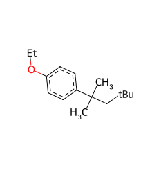 [CH2]COc1ccc(C(C)(C)CC(C)(C)C)cc1